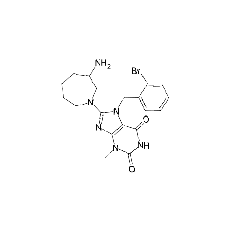 Cn1c(=O)[nH]c(=O)c2c1nc(N1CCCCC(N)C1)n2Cc1ccccc1Br